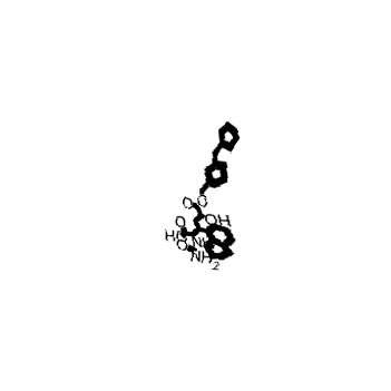 NC(=O)NC(C(=O)O)C(CC(O)C(=O)OCc1cccc(Cc2ccccc2)c1)c1cccc2ccccc12